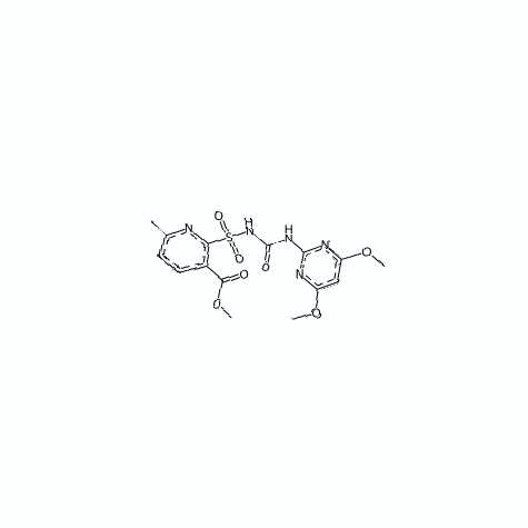 COC(=O)c1ccc(C)nc1S(=O)(=O)NC(=O)Nc1nc(OC)cc(OC)n1